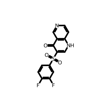 O=c1c(S(=O)(=O)c2ccc(F)c(F)c2)c[nH]c2ccncc12